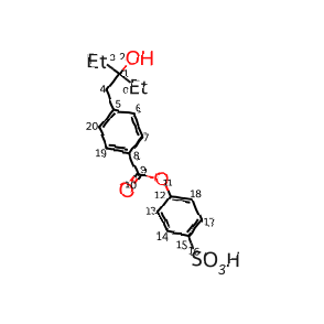 CCC(O)(CC)Cc1ccc(C(=O)Oc2ccc(S(=O)(=O)O)cc2)cc1